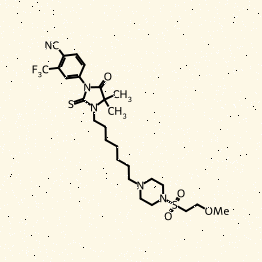 COCCS(=O)(=O)N1CCN(CCCCCCCN2C(=S)N(c3ccc(C#N)c(C(F)(F)F)c3)C(=O)C2(C)C)CC1